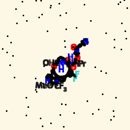 CO[C@@H](C)c1ncccc1-c1c2c3cc(ccc3n1CC(F)(F)F)-c1cc(cc(C(F)F)c1)C[C@H](NC(=O)[C@@H](COC1CN(C(=O)C#CC(C)(C)N(C)C)C1)C(C)C)C(=O)N1CCCC(C=O)(COCC(C)(C)C2)N1